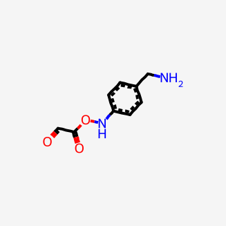 NCc1ccc(NOC(=O)C=O)cc1